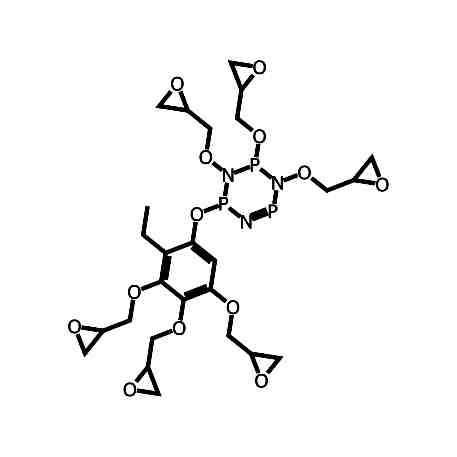 CCc1c(Op2npn(OCC3CO3)p(OCC3CO3)n2OCC2CO2)cc(OCC2CO2)c(OCC2CO2)c1OCC1CO1